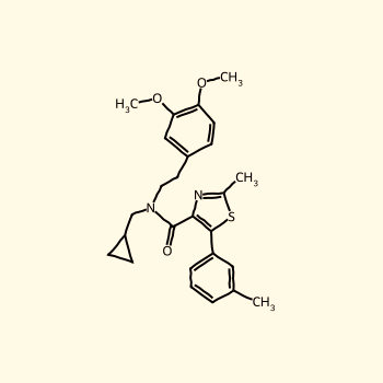 COc1ccc(CCN(CC2CC2)C(=O)c2nc(C)sc2-c2cccc(C)c2)cc1OC